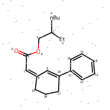 CCCCC(CC)COC(=O)C=C1C=C(c2ccccc2)CCC1